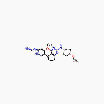 COc1nc(N[C@H]2CC[C@@H](OC)CC2)nc2c1C(c1cc/c(=N/C=N)[nH]c1)=CCC2